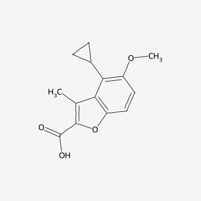 COc1ccc2oc(C(=O)O)c(C)c2c1C1CC1